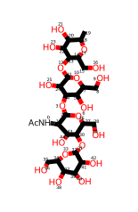 CC(=O)NC1C(OC2C(O)C(CO)OC(OC3C(CO)OC(C)C(O)C3O)C2O)OC(CO)C(OC2OC(CO)C(O)C(O)C2O)C1O